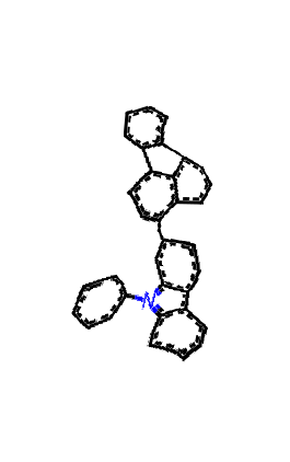 c1ccc(-n2c3ccccc3c3ccc(-c4ccc5c6c(cccc46)-c4ccccc4-5)cc32)cc1